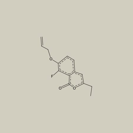 C=CCOc1ccc2cc(CC)oc(=O)c2c1F